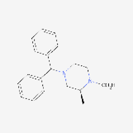 C[C@H]1CN(C(c2ccccc2)c2ccccc2)CCN1C(=O)O